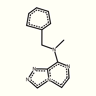 CN(Cc1ccccc1)c1nccn2cnnc12